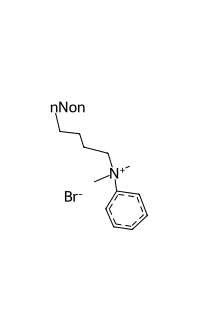 CCCCCCCCCCCCC[N+](C)(C)c1ccccc1.[Br-]